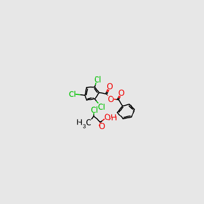 CC(Cl)C(=O)O.O=C(OC(=O)c1c(Cl)cc(Cl)cc1Cl)c1ccccc1